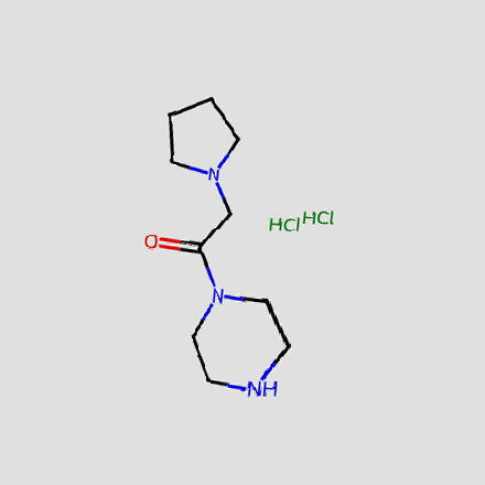 Cl.Cl.O=C(CN1CCCC1)N1CCNCC1